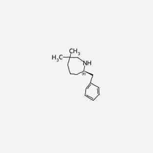 CC1(C)CCC[C@H](Cc2ccccc2)NC1